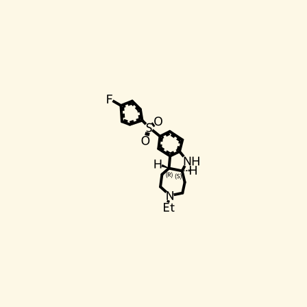 CCN1CC[C@@H]2Nc3ccc(S(=O)(=O)c4ccc(F)cc4)cc3[C@H]2CC1